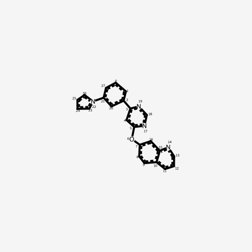 c1cc(-c2cc(Oc3ccc4cccnc4c3)ncn2)cc(-n2cccc2)c1